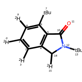 [2H]c1c([2H])c2c(c(C(C)(C)C)c1[2H])C(=O)N(C(C)(C)C)C2[2H]